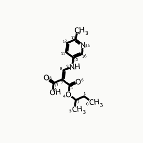 CCC(C)OC(=O)C(=CNc1ccc(C)nc1)C(=O)O